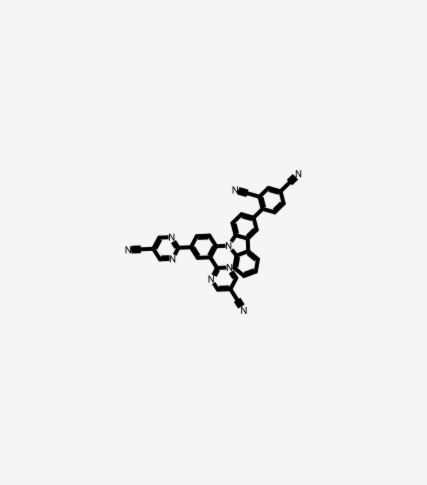 N#Cc1cnc(-c2ccc(-n3c4ccccc4c4cc(-c5ccc(C#N)cc5C#N)ccc43)c(-c3ncc(C#N)cn3)c2)nc1